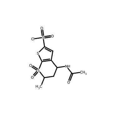 CC(=O)NC1CC(C)S(=O)(=O)c2sc(S(=O)(=O)Cl)cc21